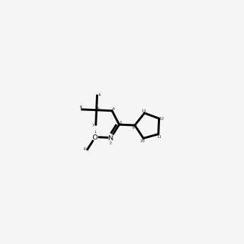 CON=C(CC(C)(C)C)C1CCCC1